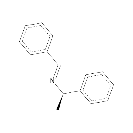 C[C@@H](N=Cc1ccccc1)c1ccccc1